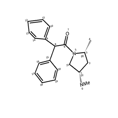 CN[C@H]1C[C@@H](C)N(C(=O)C(c2ccccc2)c2ccccc2)C1